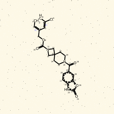 C/C=C(\C=C(/C)Cl)COC(=O)N1CC2(CCN(C(=O)c3ccc4[nH]c(=O)oc4c3)CC2)C1